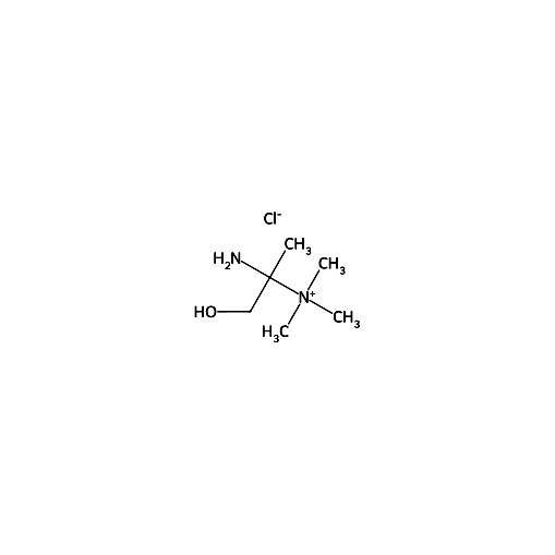 CC(N)(CO)[N+](C)(C)C.[Cl-]